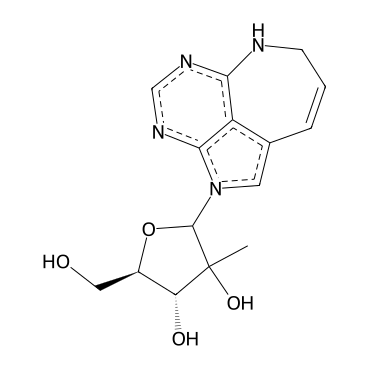 CC1(O)C(n2cc3c4c(ncnc42)NCC=C3)O[C@H](CO)[C@H]1O